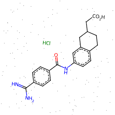 Cl.N=C(N)c1ccc(C(=O)Nc2ccc3c(c2)CC(CC(=O)O)CC3)cc1